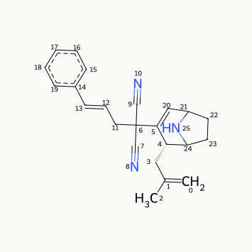 C=C(C)C[C@@H]1C(C(C#N)(C#N)C/C=C/c2ccccc2)=CC2CCC1N2